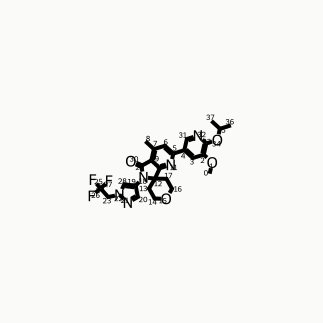 COc1cc(-c2cc(C)c3c(n2)C2(CCOCC2)N(c2cnn(CC(F)(F)F)c2)C3=O)cnc1OC(C)C